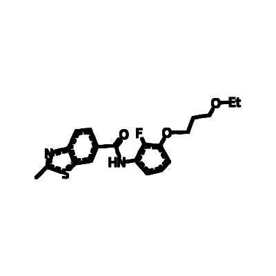 CCOCCCOc1cccc(NC(=O)c2ccc3nc(C)sc3c2)c1F